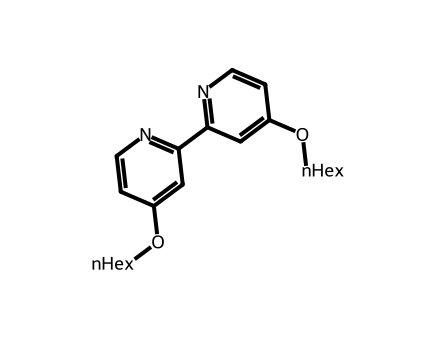 CCCCCCOc1ccnc(-c2cc(OCCCCCC)ccn2)c1